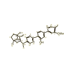 COc1cc(-c2ccc(-c3ncc(N(C)[C@H]4C[C@@H]5CC[C@@H](N5)[C@H]4F)nn3)c(O)c2)nnc1C